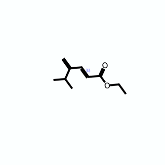 C=C(/C=C/C(=O)OCC)C(C)C